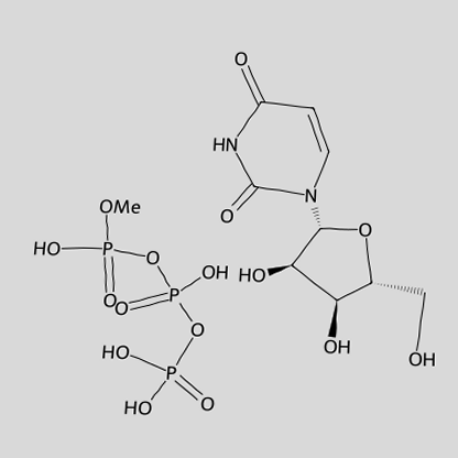 COP(=O)(O)OP(=O)(O)OP(=O)(O)O.O=c1ccn([C@@H]2O[C@H](CO)[C@@H](O)[C@H]2O)c(=O)[nH]1